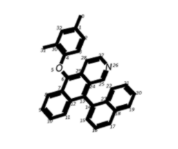 Cc1ccc(Oc2c3ccccc3c(-c3cccc4ccccc34)c3cnccc23)c(C)c1